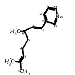 CC(C)=CCCC(C)C=Cc1cccnc1